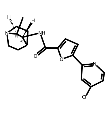 C[C@H]1[C@H](NC(=O)c2ccc(-c3cc(Cl)ccn3)o2)C2CCN1CC2